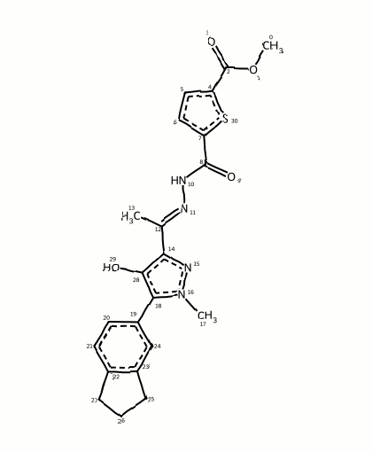 COC(=O)c1ccc(C(=O)N/N=C(\C)c2nn(C)c(-c3ccc4c(c3)CCC4)c2O)s1